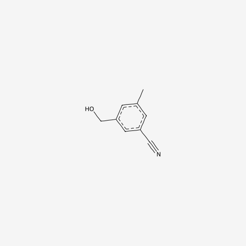 Cc1cc(C#N)cc(CO)c1